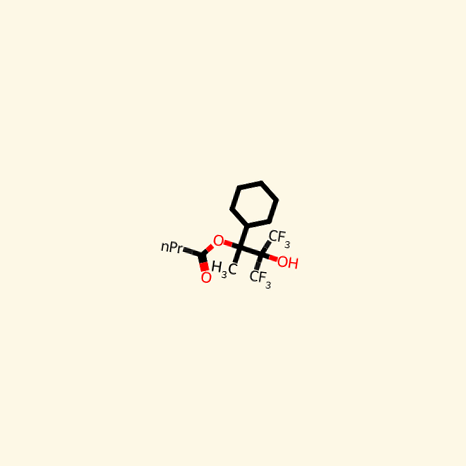 CCCC(=O)OC(C)(C1CCCCC1)C(O)(C(F)(F)F)C(F)(F)F